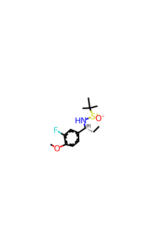 CC[C@@H](N[S+]([O-])C(C)(C)C)c1ccc(OC)c(F)c1